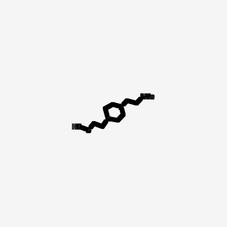 CNCCN1CCN(CCOO)CC1